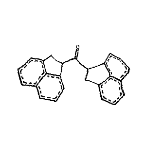 O=C(C1Cc2cccc3cccc1c23)C1Cc2cccc3cccc1c23